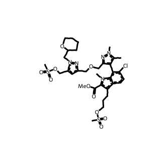 COC(=O)c1c(CCCOS(C)(=O)=O)c2ccc(Cl)c(-c3c(COCc4cc(COS(C)(=O)=O)n(CC5CCCCO5)n4)nn(C)c3C)c2n1C